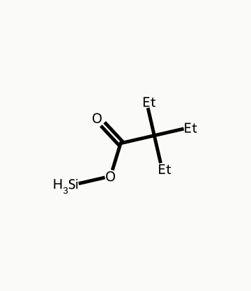 CCC(CC)(CC)C(=O)O[SiH3]